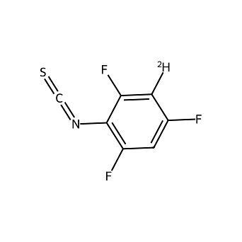 [2H]c1c(F)cc(F)c(N=C=S)c1F